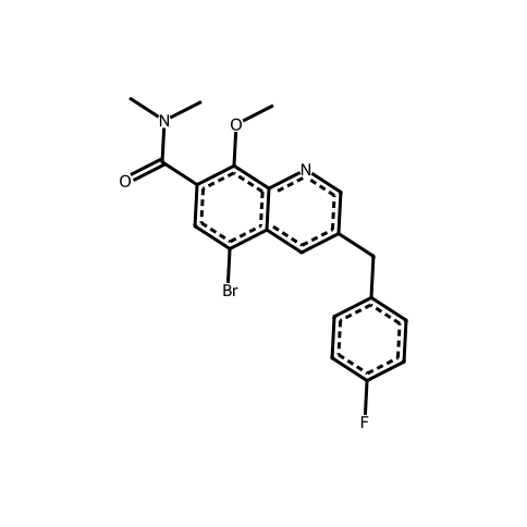 COc1c(C(=O)N(C)C)cc(Br)c2cc(Cc3ccc(F)cc3)cnc12